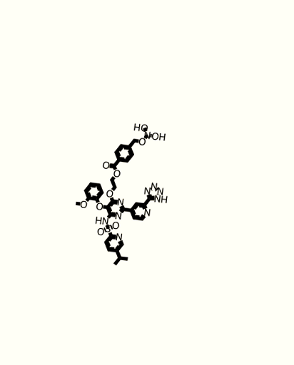 COc1ccccc1Oc1c(NS(=O)(=O)c2ccc(C(C)C)cn2)nc(-c2ccnc(-c3nnn[nH]3)c2)nc1OCCOC(=O)c1ccc(CON(O)O)cc1